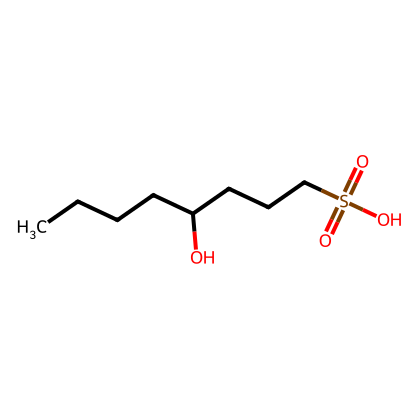 CCCCC(O)CCCS(=O)(=O)O